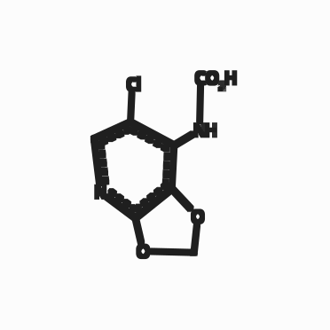 O=C(O)Nc1c(Cl)cnc2c1OCO2